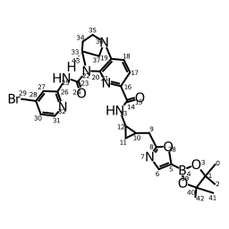 CC1(C)OB(c2cnc(CC3CC3NC(=O)c3ccc4c(n3)N(C(=O)Nc3cc(Br)ccn3)[C@H]3CCN4C3)o2)OC1(C)C